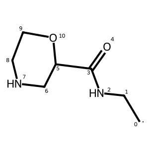 [CH2]CNC(=O)C1CNCCO1